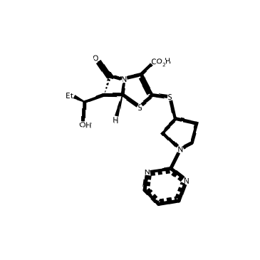 CC[C@H](O)[C@@H]1C(=O)N2C(C(=O)O)=C(SC3CCN(c4ncccn4)C3)S[C@H]12